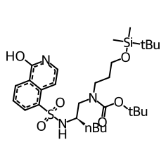 CCCC[C@H](CN(CCCO[Si](C)(C)C(C)(C)C)C(=O)OC(C)(C)C)NS(=O)(=O)c1cccc2c(O)nccc12